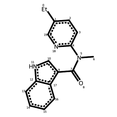 CCc1ccc(N(C)C(=O)c2c[nH]c3ccccc23)nc1